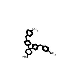 CCCCC1CCC(c2ccc(Cc3ccc(N)cc3)cc2)(c2ccc(Cc3ccc(N)cc3)cc2)CC1